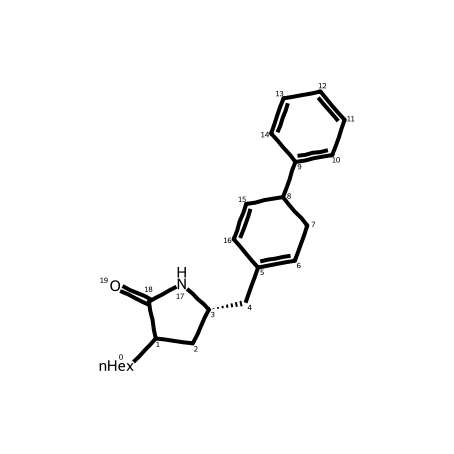 CCCCCCC1C[C@@H](CC2=CCC(c3ccccc3)C=C2)NC1=O